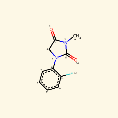 CN1C(=O)CN(c2ccccc2F)C1=O